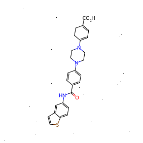 O=C(O)C1=CC=C(N2CCN(c3ccc(C(=O)Nc4ccc5sccc5c4)cc3)CC2)CC1